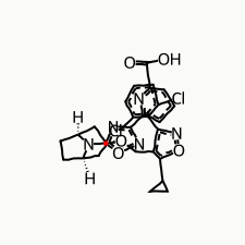 O=C(O)c1cccc(-c2noc(N3[C@@H]4CC[C@H]3C[C@@H](OCc3c(-c5c(Cl)cccc5Cl)noc3C3CC3)C4)n2)n1